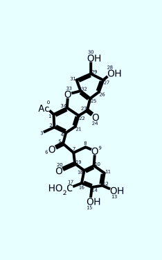 CC(=O)c1c(C)c(C(=O)C2COc3cc(O)c(O)c(C(=O)O)c3C2=O)cc2c(=O)c3cc(O)c(O)cc3oc12